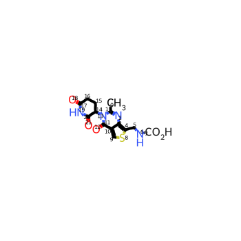 Cc1nc2c(CNC(=O)O)scc2c(=O)n1C1CCC(=O)NC1=O